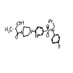 CC(C)CN(c1ccc(F)cc1)S(=O)(=O)c1ccc(N2CCN(C(=O)[C@H](C)O)CC2)nc1